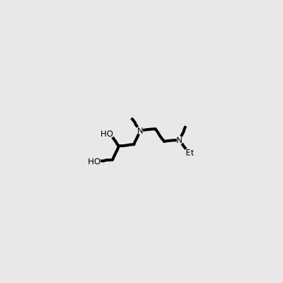 CCN(C)CCN(C)CC(O)CO